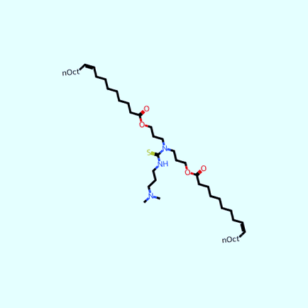 CCCCCCCC/C=C\CCCCCCCC(=O)OCCCN(CCCOC(=O)CCCCCCC/C=C\CCCCCCCC)C(=S)NCCCN(C)C